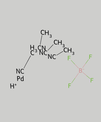 CC#N.CC#N.CC#N.CC#N.F[B-](F)(F)F.[H+].[Pd]